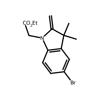 C=C1N(CC(=O)OCC)c2ccc(Br)cc2C1(C)C